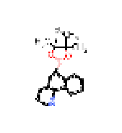 CC1(C)OB(c2cc3cccnc3c3ccccc23)OC1(C)C